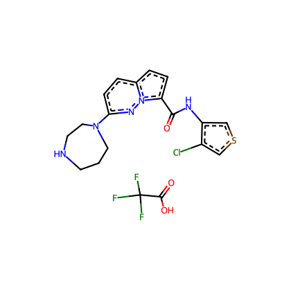 O=C(Nc1cscc1Cl)c1ccc2ccc(N3CCCNCC3)nn12.O=C(O)C(F)(F)F